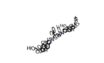 COC(=O)C(O)(CC(=O)N/N=C1\C=C[C@@]2(C)C(=C1)CC[C@H]1[C@@H]3C[C@@H](C)[C@@]4(C(=O)CO)O[C@]34C[C@H](O)[C@@]12F)CC(=O)N/N=C1\C=C[C@@]2(C)C(=C1)CC[C@H]1[C@@H]3C[C@@H](C)[C@@]4(C(=O)CO[Si](C)(C)C(C)(C)C)O[C@]34C[C@H](O)[C@@]12F